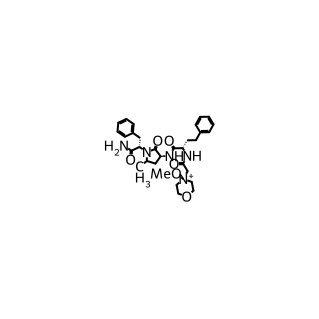 CO[N+]1(CC(=O)N[C@@H](CCc2ccccc2)C(=O)N[C@H]2CC(C)N([C@@H](Cc3ccccc3)C(N)=O)C2=O)CCOCC1